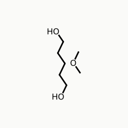 COC.OCCCCCO